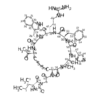 CC[C@H](C)[C@@H]1NC(=O)N(CC(=O)N[C@H]2CSSC[C@@H](C(C)=O)NC(=O)[C@H](Cc3c[nH]c4ccccc34)NC(=O)[C@H](CCCNC(=N)N)NC(=O)[C@@H](Cc3ccccc3)NC(=O)[C@H](Cc3cnc[nH]3)NC(=O)[C@@H](C)NC2=O)C1=O